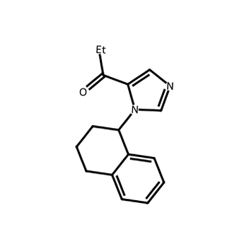 CCC(=O)c1cncn1C1CCCc2ccccc21